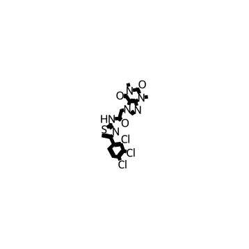 Cn1c(=O)c2c(ncn2CC(=O)Nc2nc(-c3ccc(Cl)c(Cl)c3Cl)cs2)n(C)c1=O